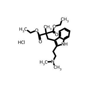 CCOC(=O)C(C)(Cc1c(CCN(C)C)[nH]c2ccccc12)C(=O)OCC.Cl